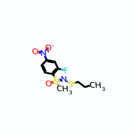 CCCSN=S(C)(=O)c1ccc([N+](=O)[O-])cc1F